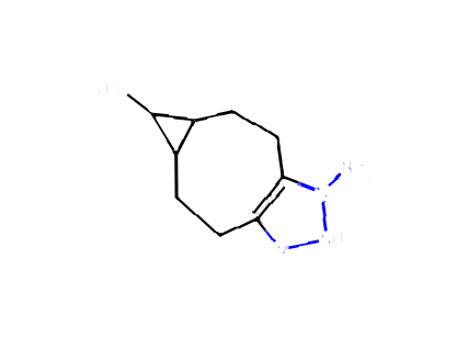 CC1C2CCC3=C(CCC12)N(N)NN3